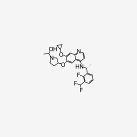 CC(O)N1CC[C@H](Oc2cc3c(N[C@H](C)c4cccc(C(F)F)c4F)ccnc3cc2OC2CC2)C1